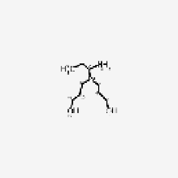 CCC(N)P(CCCO)CCCO